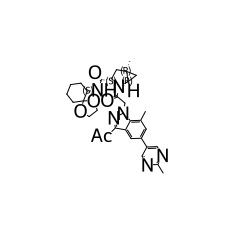 CC(=O)c1nn(CC(=O)N2[C@H](C(=O)N[C@H]3CCCCC34OCCO4)C[C@@]3(C)C[C@@H]23)c2c(C)cc(-c3cnc(C)nc3)cc12